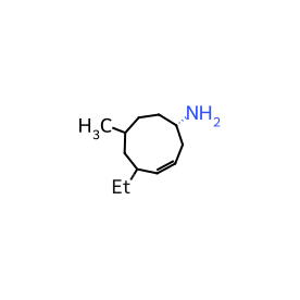 CCC1/C=C\C[C@@H](N)CCC(C)C1